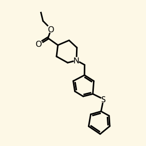 CCOC(=O)C1CCN(Cc2cccc(Sc3ccccc3)c2)CC1